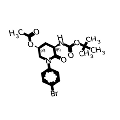 CC(=O)O[C@@H]1C[C@@H](NC(=O)OC(C)(C)C)C(=O)N(c2ccc(Br)cc2)C1